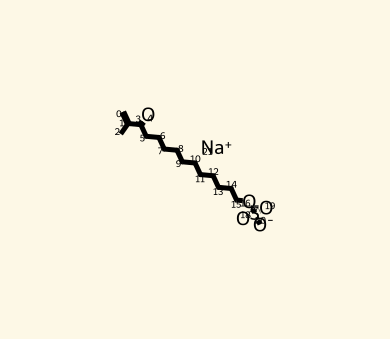 C=C(C)C(=O)CCCCCCCCCCCOS(=O)(=O)[O-].[Na+]